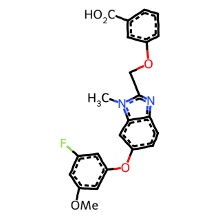 COc1cc(F)cc(Oc2ccc3nc(COc4cccc(C(=O)O)c4)n(C)c3c2)c1